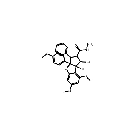 COc1ccc(C23Oc4cc(OC)cc(OC)c4C2(O)C(O)C(C(=O)NN)C3c2ccccc2)cc1